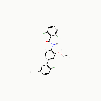 CN(C(=O)c1c(F)cccc1Cl)c1ccc(-c2cc(C(=O)O)ccc2Cl)cc1OCC(F)(F)F